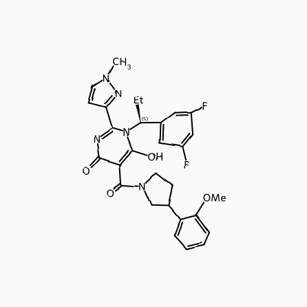 CC[C@@H](c1cc(F)cc(F)c1)n1c(-c2ccn(C)n2)nc(=O)c(C(=O)N2CCC(c3ccccc3OC)C2)c1O